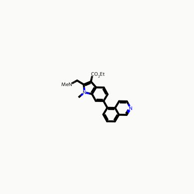 CCOC(=O)c1c(CNC)n(C)c2cc(-c3cccc4cnccc34)ccc12